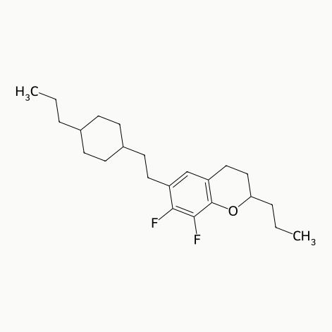 CCCC1CCC(CCc2cc3c(c(F)c2F)OC(CCC)CC3)CC1